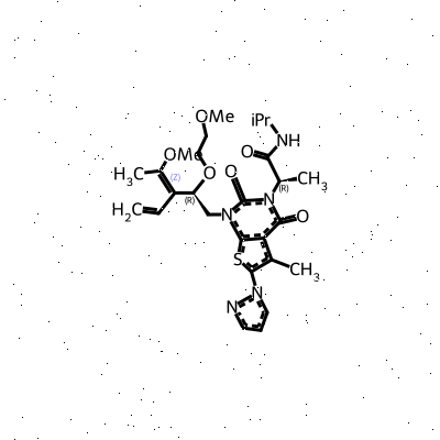 C=C/C(=C(\C)OC)[C@H](Cn1c(=O)n([C@H](C)C(=O)NC(C)C)c(=O)c2c(C)c(-n3cccn3)sc21)OCCOC